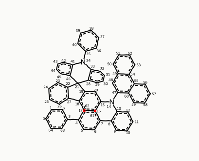 c1ccc(-c2ccc(-c3ccccc3N(c3ccc4c(c3)C3(c5ccccc5-4)c4ccccc4N(c4ccccc4)c4ccccc43)c3cc4ccccc4c4ccccc34)cc2)cc1